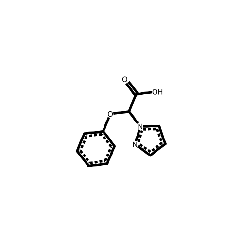 O=C(O)C(Oc1ccccc1)n1cccn1